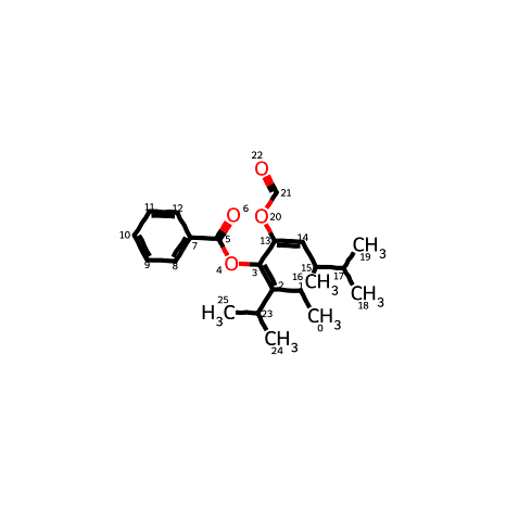 CC/C(=C(OC(=O)c1ccccc1)\C(=C/C(C)C(C)C)OC=O)C(C)C